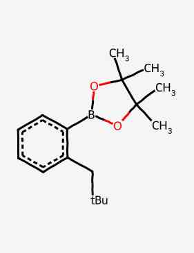 CC(C)(C)Cc1ccccc1B1OC(C)(C)C(C)(C)O1